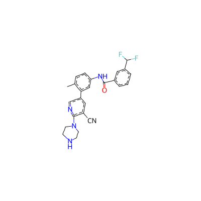 Cc1ccc(NC(=O)c2cccc(C(F)F)c2)cc1-c1cnc(N2CCNCC2)c(C#N)c1